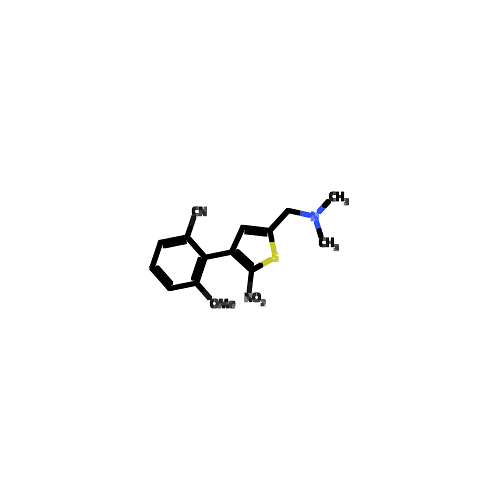 COc1cccc(C#N)c1-c1cc(CN(C)C)sc1[N+](=O)[O-]